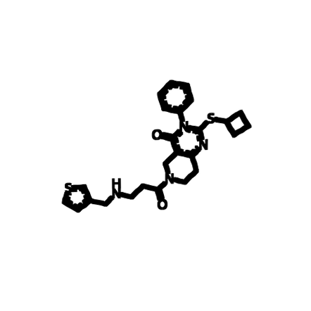 O=C(CCNCc1ccsc1)N1CCc2nc(SC3CCC3)n(-c3ccccc3)c(=O)c2C1